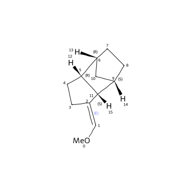 CO/C=C1\CC[C@@H]2[C@@H]3CC[C@@H](C3)[C@H]12